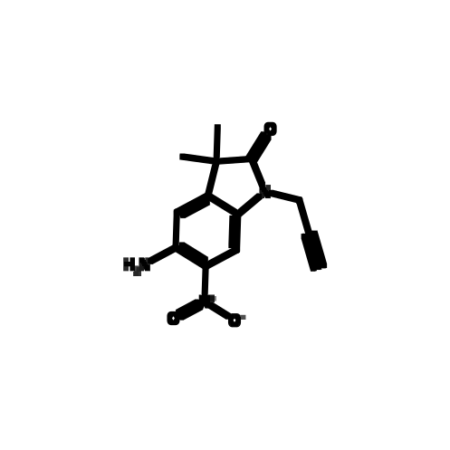 C#CCN1C(=O)C(C)(C)c2cc(N)c([N+](=O)[O-])cc21